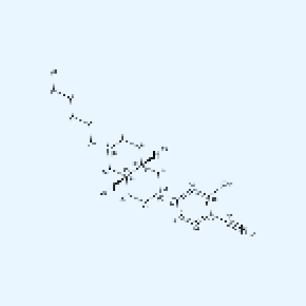 CCCCCC[C@@H]1CC[C@@H]2C[C@H](c3ccc(C#N)c(F)c3)CC[C@@H]2C1